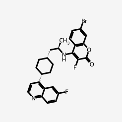 C[C@H](C[C@H]1CC[C@@H](c2ccnc3ccc(F)cc32)CC1)Nc1c(F)c(=O)oc2cc(Br)ccc12